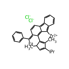 CCC(c1ccccc1)=c1ccc2c(c1C1=C(C)C(C(C)C)=CC1C)[C]([Zr+2])=c1ccccc1=2.[Cl-].[Cl-]